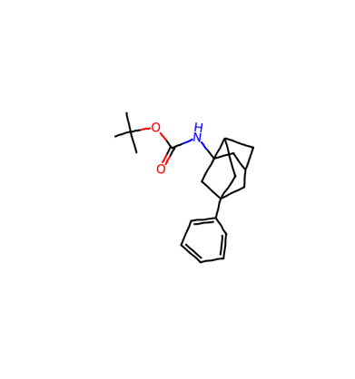 CC(C)(C)OC(=O)NC12CC3CC1CC(c1ccccc1)(C3)C2